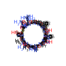 CCCC[C@H]1C(=O)N(C)[C@@H](CCCC)C(=O)N[C@@H](CCCNC(=N)N)C(=O)NC(C(=O)NCC(N)=O)CSCC(=O)N[C@@H](Cc2ccc(O)cc2)C(=O)N(C)[C@@H](C)C(=O)N[C@@H](CC(N)=O)C(=O)N[C@]2(C[C@@H]2C)C(=O)NC(Cc2cnc[nH]2)C(=O)N[C@@H](CC(C)C)C(=O)N2C[C@H](O)C[C@H]2C(=O)NC(Cc2c[nH]c3ccccc23)C(=O)N[C@@H](CO)C(=O)N[C@@H](Cc2csc3ccccc23)C(=O)N1C